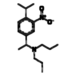 CCCN(CCC)C(C)c1ccc(C(C)C)c([N+](=O)[O-])c1